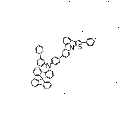 c1ccc(-c2cccc(N(c3ccc(-c4ccc5c(c4)c4cccc6c7cc(-c8ccccc8)sc7n5c46)cc3)c3cccc4c3-c3ccccc3C43c4ccccc4-c4ccccc43)c2)cc1